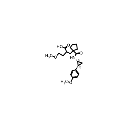 COCCC(CC1(C(=O)N[C@@H]2C[C@H]2c2ccc(OC)cc2)CCCC1)C(=O)O